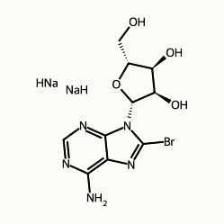 Nc1ncnc2c1nc(Br)n2[C@@H]1O[C@H](CO)[C@@H](O)[C@H]1O.[NaH].[NaH]